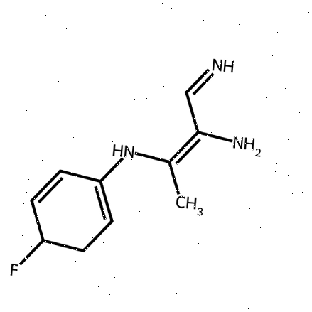 C/C(NC1=CCC(F)C=C1)=C(\N)C=N